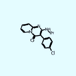 CC(C)Nc1nc2ccccn2c(=O)c1-c1ccc(Cl)cc1